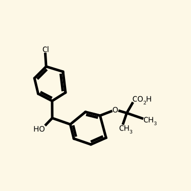 CC(C)(Oc1cccc(C(O)c2ccc(Cl)cc2)c1)C(=O)O